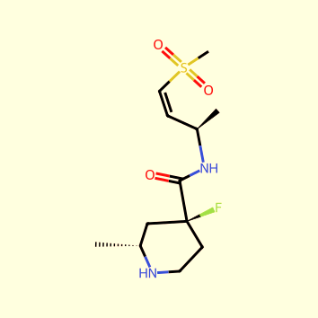 C[C@H](/C=C\S(C)(=O)=O)NC(=O)[C@]1(F)CCN[C@H](C)C1